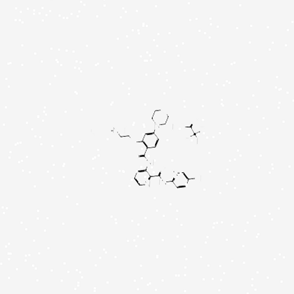 O=C(O)C(F)(F)F.O=CNCCOc1cc(N2CCOCC2)ccc1C(=O)Nc1cccnc1C(=O)Nc1ccc(Cl)cn1